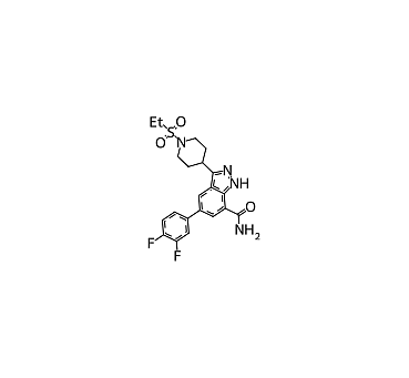 CCS(=O)(=O)N1CCC(c2n[nH]c3c(C(N)=O)cc(-c4ccc(F)c(F)c4)cc23)CC1